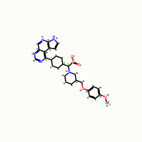 O=[SH](=O)C(C1CCC(c2ncnc3cnc4[nH]ccc4c23)CC1)N1CCCC(COc2ccc(OC(F)(F)F)cc2)C1